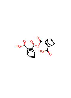 O=C(O)C1=C(C(=O)OC(=O)C2=C(C(=O)O)C3C=CC2C3)C2C=CC1C2